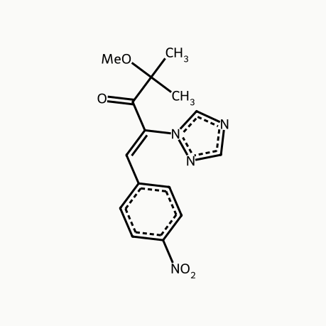 COC(C)(C)C(=O)C(=Cc1ccc([N+](=O)[O-])cc1)n1cncn1